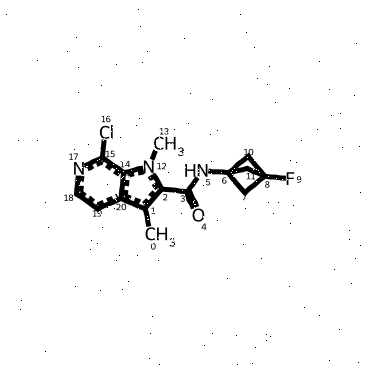 Cc1c(C(=O)NC23CC(F)(C2)C3)n(C)c2c(Cl)nccc12